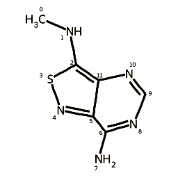 CNc1snc2c(N)ncnc12